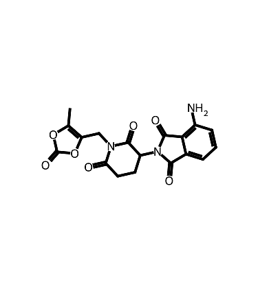 Cc1oc(=O)oc1CN1C(=O)CCC(N2C(=O)c3cccc(N)c3C2=O)C1=O